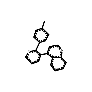 Cc1ccc(-c2ncccc2-c2ccnc3ccccc23)cc1